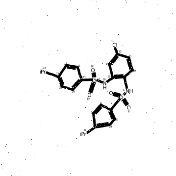 CC(C)c1ccc(S(=O)(=O)Nc2ccc(Cl)cc2NS(=O)(=O)c2ccc(C(C)C)cc2)cc1